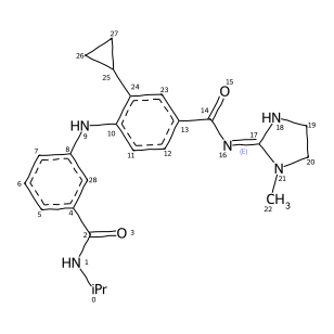 CC(C)NC(=O)c1cccc(Nc2ccc(C(=O)/N=C3\NCCN3C)cc2C2CC2)c1